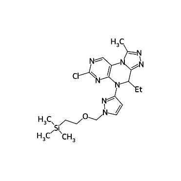 CCC1c2nnc(C)n2-c2cnc(Cl)nc2N1c1ccn(COCC[Si](C)(C)C)n1